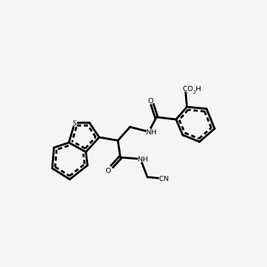 N#CCNC(=O)C(CNC(=O)c1ccccc1C(=O)O)c1csc2ccccc12